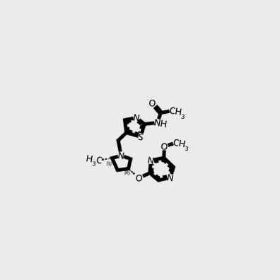 COc1cncc(O[C@@H]2C[C@H](C)N(Cc3cnc(NC(C)=O)s3)C2)n1